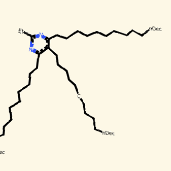 C[CH]c1nc(CCCCCCCCCCCCCCCCCCCC)c(CCCCCCCCCCCCCCCCCCCC)c(CCCCCCCCCCCCCCCCCCCC)n1